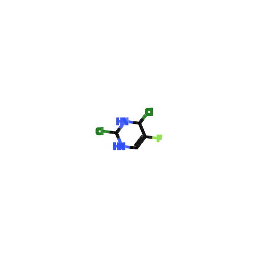 FC1=CNC(Cl)NC1Cl